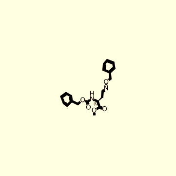 COC(=O)[C@H](CC=NOCc1ccccc1)NC(=O)OCc1ccccc1